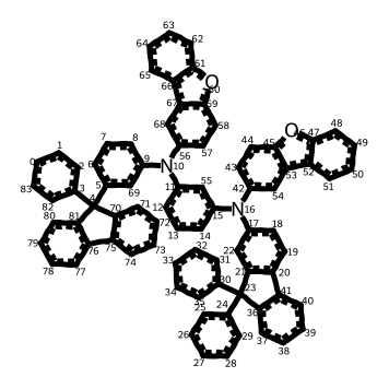 c1ccc(C2(c3cccc(N(c4cccc(N(c5ccc6c(c5)C(c5ccccc5)(c5ccccc5)c5ccccc5-6)c5ccc6oc7ccccc7c6c5)c4)c4ccc5oc6ccccc6c5c4)c3)c3ccccc3-c3ccccc32)cc1